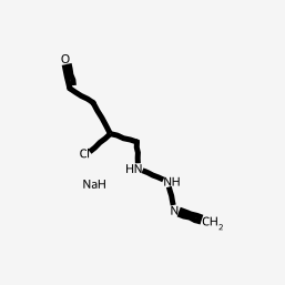 C=NNNCC(Cl)CC=O.[NaH]